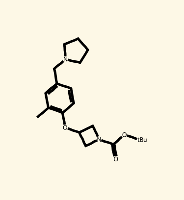 Cc1cc(CN2CCCC2)ccc1OC1CN(C(=O)OC(C)(C)C)C1